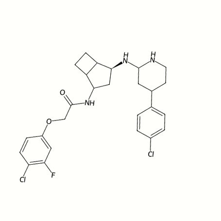 O=C(COc1ccc(Cl)c(F)c1)NC1C[C@H](NC2CC(c3ccc(Cl)cc3)CCN2)C2CCC12